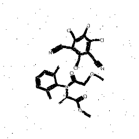 COCC(=O)N(c1c(C)cccc1C)[C@H](C)C(=O)OC.N#Cc1c(Cl)c(Cl)c(Cl)c(C#N)c1Cl